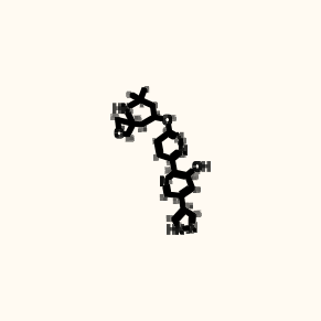 CC1(C)CC(Oc2ccc(-c3ncc(-c4cn[nH]c4)cc3O)nn2)CC2(COC2)N1